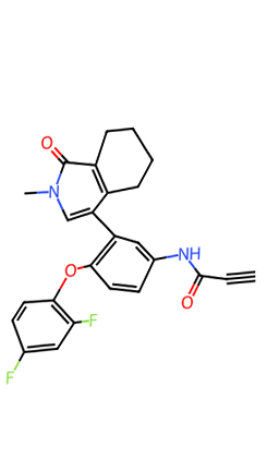 C#CC(=O)Nc1ccc(Oc2ccc(F)cc2F)c(-c2cn(C)c(=O)c3c2CCCC3)c1